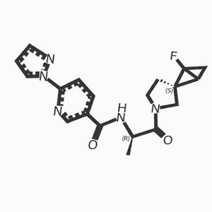 C[C@@H](NC(=O)c1ccc(-n2cccn2)nc1)C(=O)N1CC[C@@]2(C1)C1CC12F